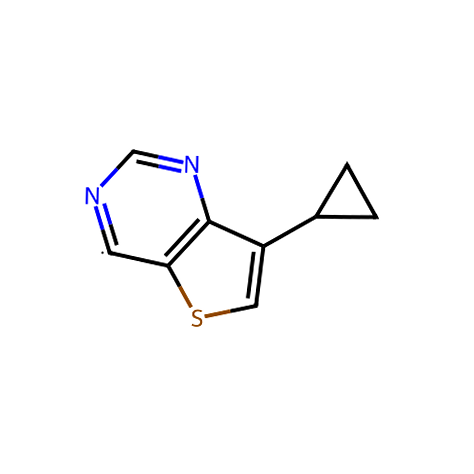 [c]1ncnc2c(C3CC3)csc12